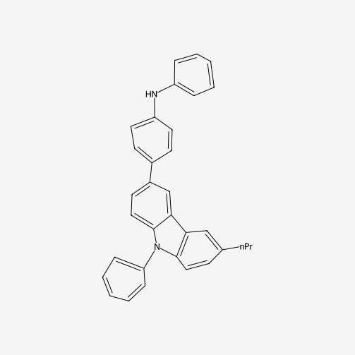 CCCc1ccc2c(c1)c1cc(-c3ccc(Nc4ccccc4)cc3)ccc1n2-c1ccccc1